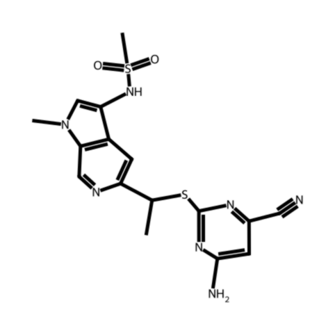 CC(Sc1nc(N)cc(C#N)n1)c1cc2c(NS(C)(=O)=O)cn(C)c2cn1